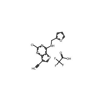 C#Cc1csc2c(NCc3ccco3)nc(Cl)nc12.O=C(O)C(F)(F)F